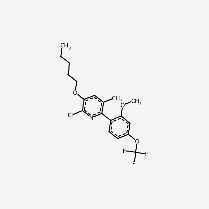 CCCCCOc1cc(C)c(-c2ccc(OC(F)(F)F)cc2OC)nc1Cl